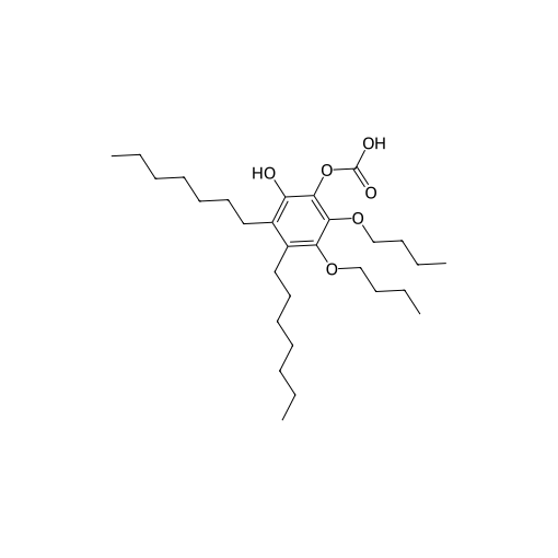 CCCCCCCc1c(O)c(OC(=O)O)c(OCCCC)c(OCCCC)c1CCCCCCC